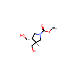 CC(C)(C)OC(=O)N1C[C@@H](CO)[C@](C)(CO)C1